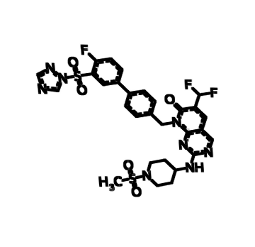 CS(=O)(=O)N1CCC(Nc2ncc3cc(C(F)F)c(=O)n(Cc4ccc(-c5ccc(F)c(S(=O)(=O)n6cncn6)c5)cc4)c3n2)CC1